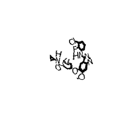 COc1cc2ncnc(Nc3cccc(Cl)c3F)c2cc1O[C@H]1C[C@@H](C(=O)NC2CC2)N(C)C1